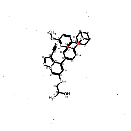 COc1ccc(CN2C3CC2CN(c2ccc(-c4cc(OCC(C)O)cn5ncc(C#N)c45)cn2)C3)cn1